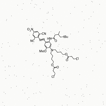 COc1cc(/N=N/c2c(C#N)cc([N+](=O)[O-])cc2C#N)c(NC(=O)CC(C)CC(C)(C)C)cc1N(CCCCOC(=O)CCCl)CCCCOC(=O)CCCl